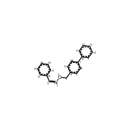 [C](=N/OCc1ccc(-c2ccccc2)cc1)/c1ccccc1